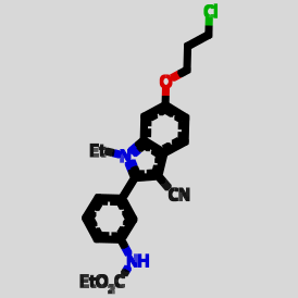 CCOC(=O)Nc1cccc(-c2c(C#N)c3ccc(OCCCCl)cc3n2CC)c1